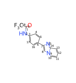 O=C(Nc1ccc(-c2cn3ccccc3n2)cc1)C(F)(F)F